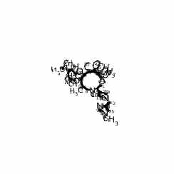 CO[C@]1(C)C[C@@H](C)CN(C)C(C2CN(Cc3cn(C)cn3)C2)COC(=O)C(C)(C)C(=O)[C@H](C)[C@H]1O[C@H]1C[C@@H](N(C)C)C[C@@H](C)O1